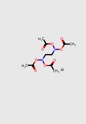 CC(=O)ON(CCN(OC(C)=O)OC(C)=O)OC(C)=O.[Al]